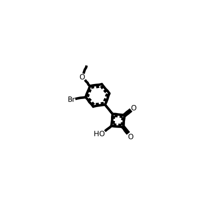 COc1ccc(-c2c(O)c(=O)c2=O)cc1Br